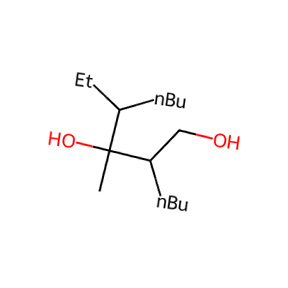 CCCCC(CC)C(C)(O)C(CO)CCCC